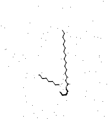 CCCCCCCCCCCCCCCCC(C)c1cccc[n+]1CCCCCCCC